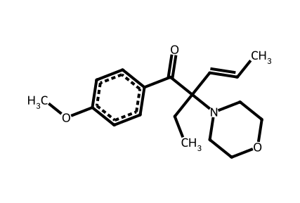 CC=CC(CC)(C(=O)c1ccc(OC)cc1)N1CCOCC1